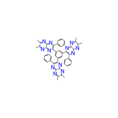 Cc1nc2nc(-c3ccccc3)c(-c3cc(-c4nc5nc(C)c(C)nc5nc4-c4ccccc4)cc(-c4nc5nc(C)c(C)nc5nc4-c4ccccc4)c3)nc2nc1C